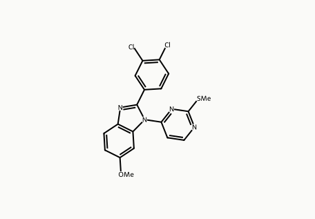 COc1ccc2nc(-c3ccc(Cl)c(Cl)c3)n(-c3ccnc(SC)n3)c2c1